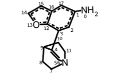 Nc1cc(C2=CN3CCC2CC3)c2occc2c1